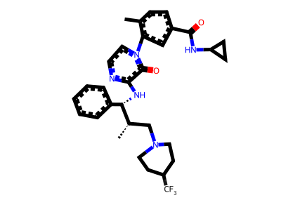 Cc1ccc(C(=O)NC2CC2)cc1-n1ccnc(N[C@@H](c2ccccc2)[C@@H](C)CN2CCC(C(F)(F)F)CC2)c1=O